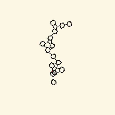 c1ccc(-c2ccc(-c3ccccc3C3(c4cccc(-c5ccc(-c6ccc(-c7ccccc7-n7c8ccccc8c8cc(-c9ccc%10c(c9)c9ccccc9n%10-c9ccc(-c%10ccccc%10)cc9)ccc87)cc6)cc5)c4)c4ccccc4-c4ccccc43)cc2)cc1